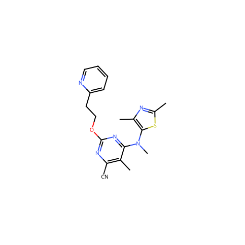 Cc1nc(C)c(N(C)c2nc(OCCc3ccccn3)nc(C#N)c2C)s1